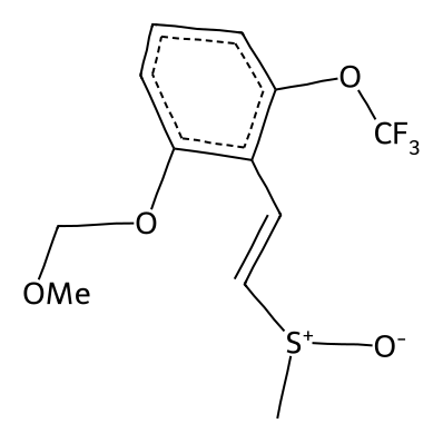 COCOc1cccc(OC(F)(F)F)c1/C=C/[S+](C)[O-]